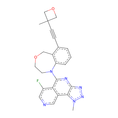 Cn1nnc2nc(N3CCOCc4c(C#CC5(C)COC5)cccc43)c3c(F)cncc3c21